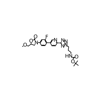 COCC1CN(c2ccc(-c3ccc(-c4nnn(CCCNC(=O)OC(C)(C)C)n4)nc3)c(F)c2)C(=O)O1